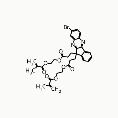 C=C(C)C(=O)OCCOC(=O)CCC1(CCC(=O)OCCOC(=O)C(=C)C)c2ccccc2-c2nc3ccc(Br)cc3nc21